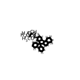 CC1(C)OB(c2ccc3c(c2)C(c2ccccc2)(c2ccccc2)c2ccc4ccccc4c2-3)OC1(C)C